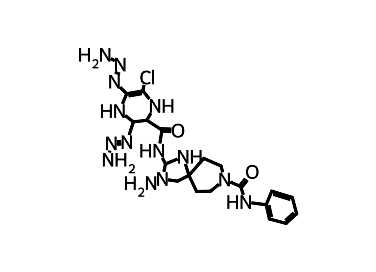 NN=NC1=C(Cl)NC(C(=O)NC2NC3(CCN(C(=O)Nc4ccccc4)CC3)CN2N)C(N=NN)N1